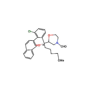 COCCCC[C@@](O)(c1cccc(Cl)c1-c1ccc2ccccc2c1)C1CN(C=O)CCO1